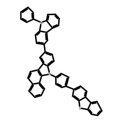 c1ccc(-n2c3ccccc3c3cc(-c4ccc5c(c4)c4ccc6ccccc6c4n5-c4ccc(-c5ccc6c(c5)sc5ccccc56)cc4)ccc32)cc1